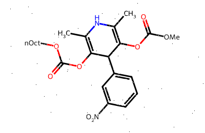 CCCCCCCCOC(=O)OC1=C(C)NC(C)=C(OC(=O)OC)C1c1cccc([N+](=O)[O-])c1